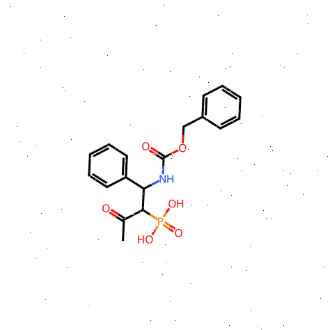 CC(=O)C(C(NC(=O)OCc1ccccc1)c1ccccc1)P(=O)(O)O